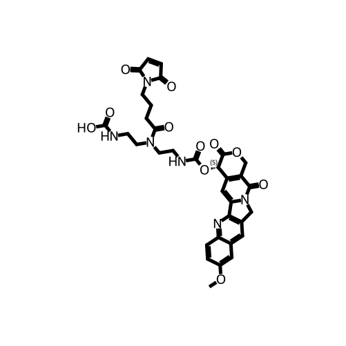 COc1ccc2nc3c(cc2c1)Cn1c-3cc2c(c1=O)COC(=O)[C@H]2OC(=O)NCCN(CCNC(=O)O)C(=O)CCCN1C(=O)C=CC1=O